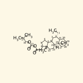 CC[C@H]1CC2C3CCC(CC(=O)OC(=O)OCC(C)C)C3(C)CC[C@@H]2C2(C)CCCCC12